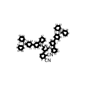 N#Cc1cccc(-c2cc(-n3c4ccccc4c4cc(-c5ccc(N(c6ccccc6)c6ccccc6)cc5)ccc43)nc(-n3c4ccccc4c4cc(-c5ccc(N(c6ccccc6)c6ccccc6)cc5)ccc43)c2)c1C#N